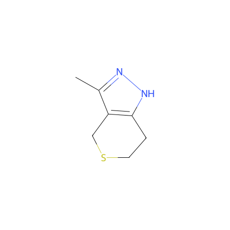 Cc1n[nH]c2c1CSCC2